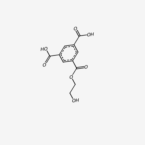 O=C(O)c1cc(C(=O)O)cc(C(=O)OCCO)c1